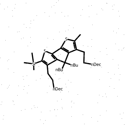 CCCCCCCCCCCCc1c(C)sc2c1C(CCCC)(CCCC)c1c-2sc([Si](C)(C)C)c1CCCCCCCCCCCC